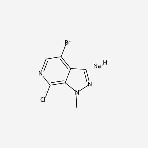 Cn1ncc2c(Br)cnc(Cl)c21.[H-].[Na+]